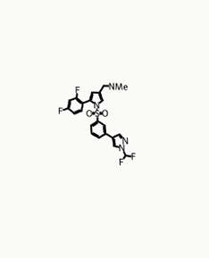 CNCc1cc(-c2ccc(F)cc2F)n(S(=O)(=O)c2cccc(-c3cnn(C(F)F)c3)c2)c1